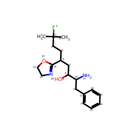 CC(C)(F)CCC(CC(O)C(N)Cc1ccccc1)C1=NCCO1